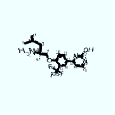 CC(C)C[C@](C)(N)COc1ccc(-c2ccnc(O)n2)cc1C(F)(F)F